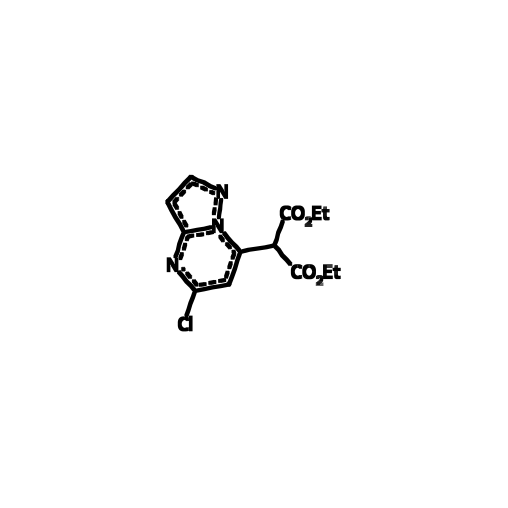 CCOC(=O)C(C(=O)OCC)c1cc(Cl)nc2ccnn12